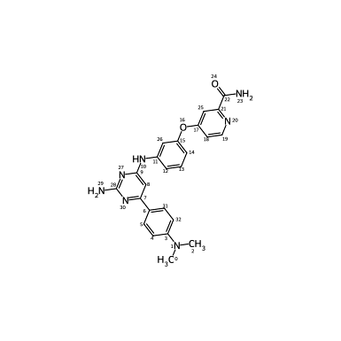 CN(C)c1ccc(-c2cc(Nc3cccc(Oc4ccnc(C(N)=O)c4)c3)nc(N)n2)cc1